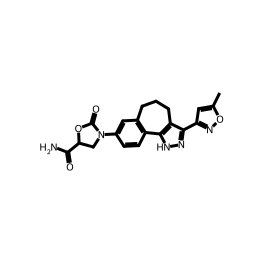 Cc1cc(-c2n[nH]c3c2CCCc2cc(N4CC(C(N)=O)OC4=O)ccc2-3)no1